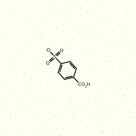 [O]S(=O)(=O)c1ccc(C(=O)O)cc1